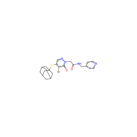 O=C(Cn1ncc(SC23CC4CC(CC(C4)C2)C3)c(Br)c1=O)NCc1ccncc1